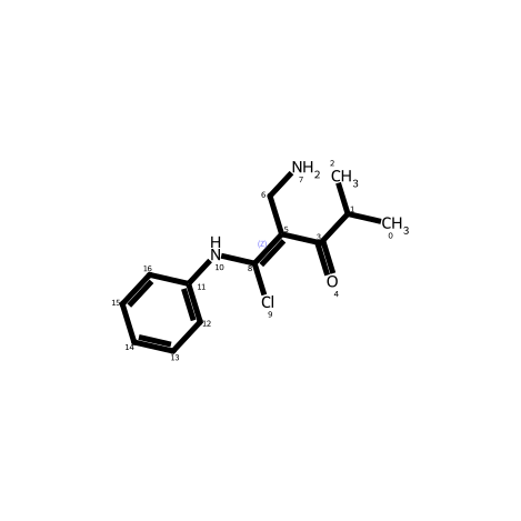 CC(C)C(=O)/C(CN)=C(\Cl)Nc1ccccc1